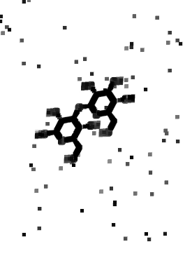 OC[C@H]1O[C@H](O[C@@H]2[C@@H](O)[C@H](O)O[C@H](CO)[C@H]2O)[C@H](O)[C@@H](O)[C@@H]1O